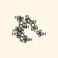 O=S(=O)(O)OCCS(=O)(=O)c1ccc(Nc2nc(Cl)nc(Nc3cc(S(=O)(=O)O)cc4cc(S(=O)(=O)O)c(/N=N/c5ccc6c(S(=O)(=O)O)cccc6c5S(=O)(=O)O)c(O)c34)n2)cc1